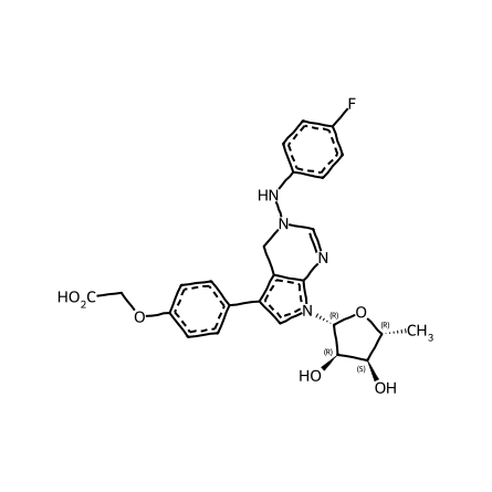 C[C@H]1O[C@@H](n2cc(-c3ccc(OCC(=O)O)cc3)c3c2N=CN(Nc2ccc(F)cc2)C3)[C@H](O)[C@@H]1O